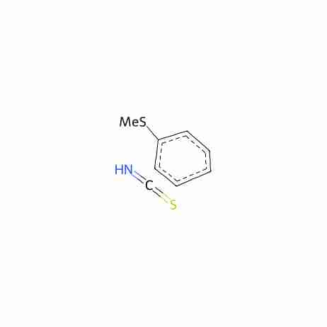 CSc1ccccc1.N=C=S